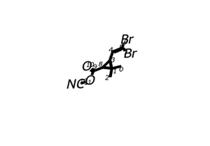 CC1(C)C(C=C(Br)Br)C1C(=O)OC#N